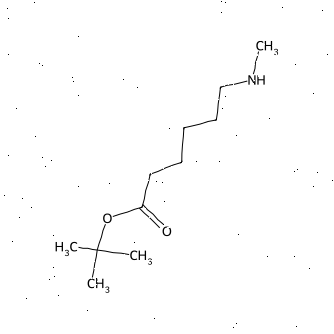 CNCCCCCC(=O)OC(C)(C)C